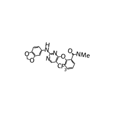 CNC(=O)c1ccccc1Oc1nc(Nc2ccc3c(c2)OCO3)ncc1C(F)(F)F